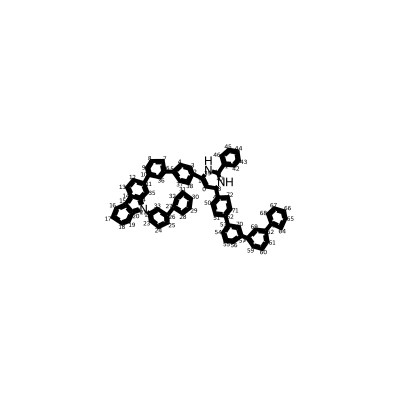 C1=C(c2ccc(-c3cccc(-c4ccc5c6ccccc6n(-c6cccc(-c7ccccc7)c6)c5c4)c3)cc2)NC(c2ccccc2)NC1c1ccc(-c2cccc(-c3cccc(-c4ccccc4)c3)c2)cc1